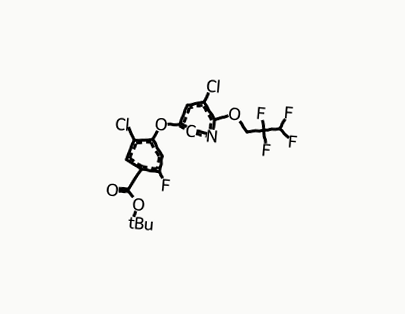 CC(C)(C)OC(=O)c1cc(Cl)c(Oc2cnc(OCC(F)(F)C(F)F)c(Cl)c2)cc1F